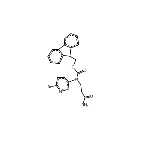 NC(=O)CCN(C(=O)OCC1c2ccccc2-c2ccccc21)c1ccc(Br)nc1